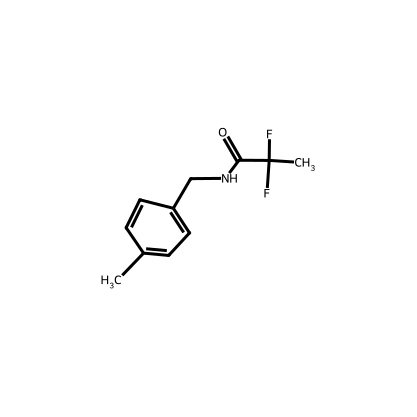 Cc1ccc(CNC(=O)C(C)(F)F)cc1